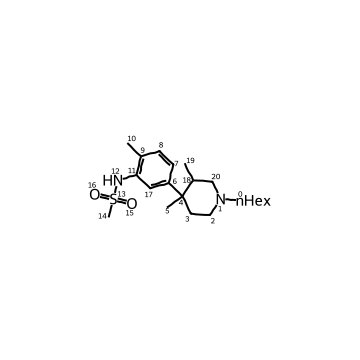 CCCCCCN1CCC(C)(c2ccc(C)c(NS(C)(=O)=O)c2)C(C)C1